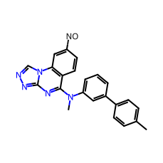 Cc1ccc(-c2cccc(N(C)c3nc4nncn4c4cc(N=O)ccc34)c2)cc1